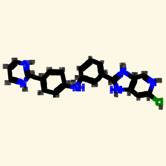 Clc1cc2[nH]c(-c3cccc(Nc4ccc(-c5ncccn5)cc4)c3)nc2cn1